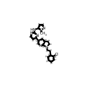 Cn1nccc1Nc1nccc(-c2cnc3c(c2)CCN3CCc2ccccc2Cl)n1